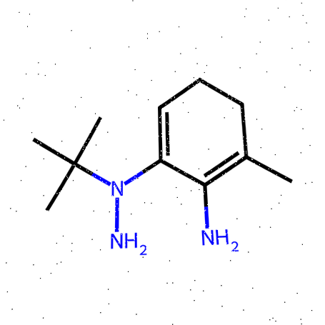 CC1=C(N)C(N(N)C(C)(C)C)=CCC1